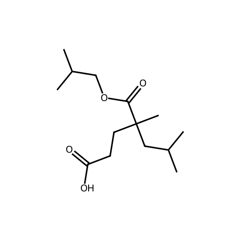 CC(C)COC(=O)C(C)(CCC(=O)O)CC(C)C